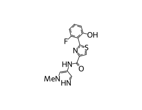 CN/C=C(\C=N)NC(=O)c1csc(-c2c(O)cccc2F)n1